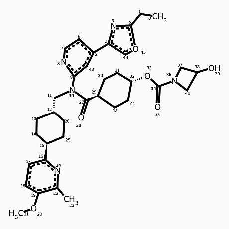 CCc1nc(-c2ccnc(N(C[C@H]3CC[C@H](c4ccc(OC)c(C)n4)CC3)C(=O)[C@H]3CC[C@H](OC(=O)N4CC(O)C4)CC3)c2)co1